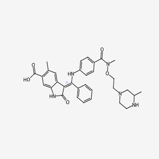 Cc1cc2c(cc1C(=O)O)NC(=O)/C2=C(/Nc1ccc(C(=O)N(C)OCCN2CCNC(C)C2)cc1)c1ccccc1